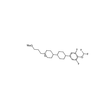 COCCC[SiH]1CCC(C2CCC(c3cc(F)c(OC(F)F)c(F)c3)CC2)CC1